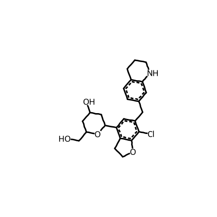 OCC1CC(O)CC(c2cc(Cc3ccc4c(c3)NCCC4)c(Cl)c3c2CCO3)O1